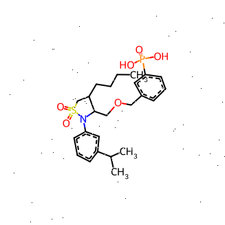 CCCCC1CS(=O)(=O)N(c2cccc(C(C)C)c2)C1COCc1cccc(P(=O)(O)O)c1